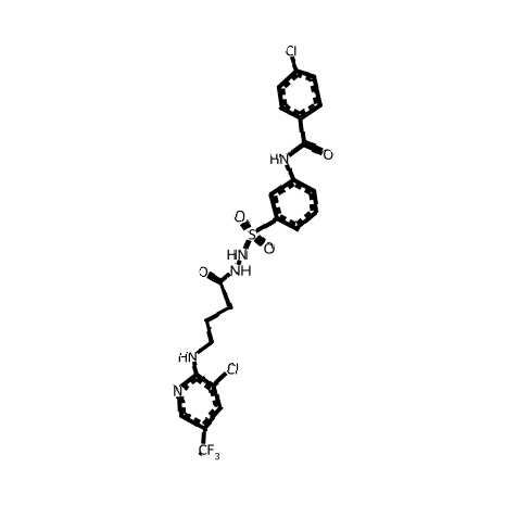 O=C(CCCNc1ncc(C(F)(F)F)cc1Cl)NNS(=O)(=O)c1cccc(NC(=O)c2ccc(Cl)cc2)c1